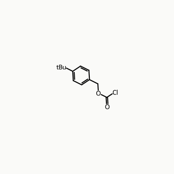 CC(C)(C)c1ccc(COC(=O)Cl)cc1